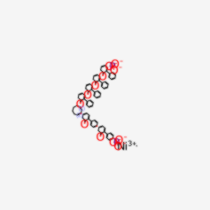 C1=C\CCCC\C=C/1.O=C1CC=CC=C1c1ccccc1.O=C1CC=CC=C1c1ccccc1.O=C1CC=CC=C1c1ccccc1.O=C1CC=CC=C1c1ccccc1.O=C1CC=CC=C1c1ccccc1.O=C1CC=CC=C1c1ccccc1.[Ni+3].[O-]P([O-])[O-].[O-]P([O-])[O-]